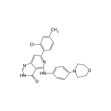 Cc1ccc(-c2cc3nc[nH]c(=O)c3c(Nc3ccc(N4CCOCC4)cc3)n2)c(Cl)c1